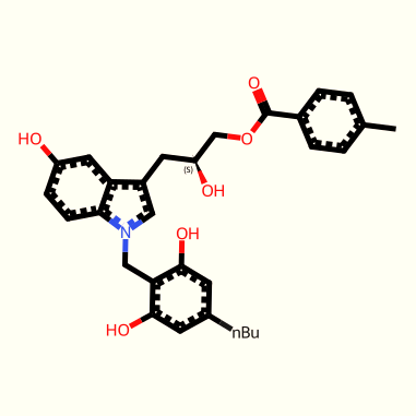 CCCCc1cc(O)c(Cn2cc(C[C@H](O)COC(=O)c3ccc(C)cc3)c3cc(O)ccc32)c(O)c1